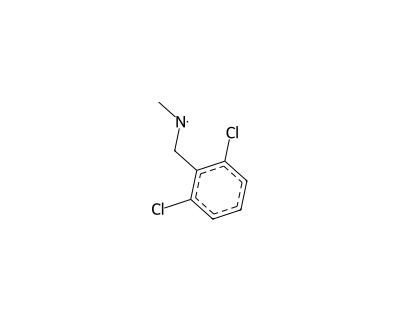 C[N]Cc1c(Cl)cccc1Cl